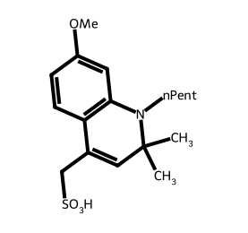 CCCCCN1c2cc(OC)ccc2C(CS(=O)(=O)O)=CC1(C)C